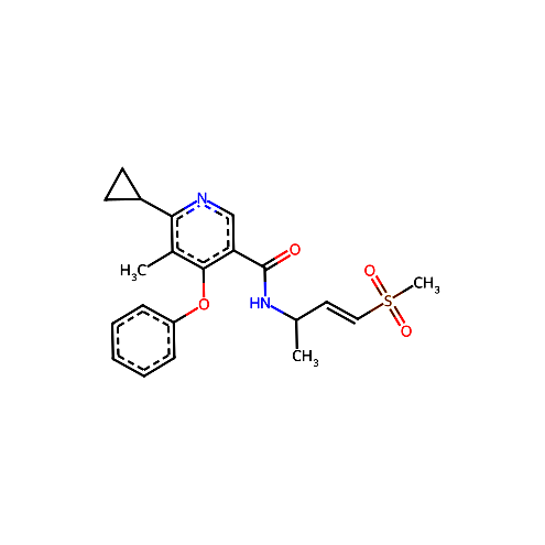 Cc1c(C2CC2)ncc(C(=O)NC(C)C=CS(C)(=O)=O)c1Oc1ccccc1